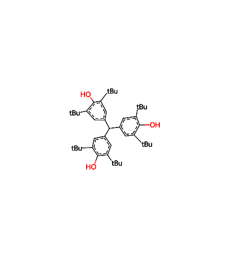 CC(C)(C)c1cc(C(c2cc(C(C)(C)C)c(O)c(C(C)(C)C)c2)c2cc(C(C)(C)C)c(O)c(C(C)(C)C)c2)cc(C(C)(C)C)c1O